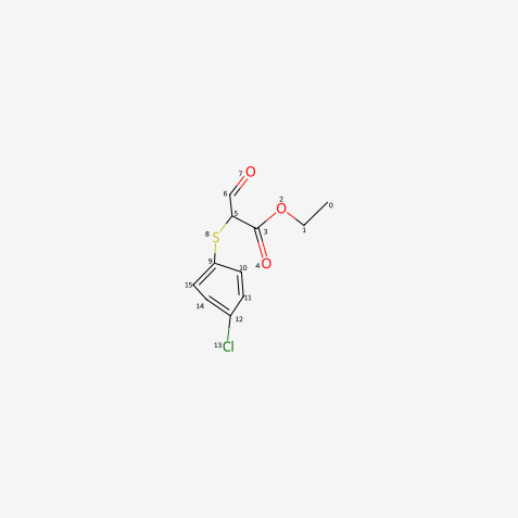 CCOC(=O)C(C=O)Sc1ccc(Cl)cc1